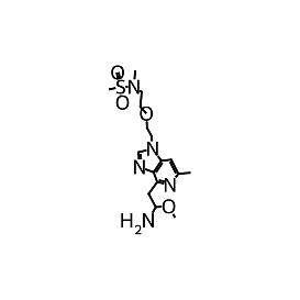 COC(N)Cc1nc(C)cc2c1ncn2CCOCCN(C)S(C)(=O)=O